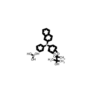 CC(C)(O)C(C)(C)Oc1ccc(N(c2ccccc2)c2ccc3ccccc3c2)cc1.OB(O)O